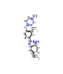 CCN1CCN(Cc2ccc(-c3nc4cc([N+](=O)[O-])ccc4[nH]3)cc2C(F)(F)F)CC1